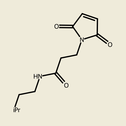 CC(C)CCNC(=O)CCN1C(=O)C=CC1=O